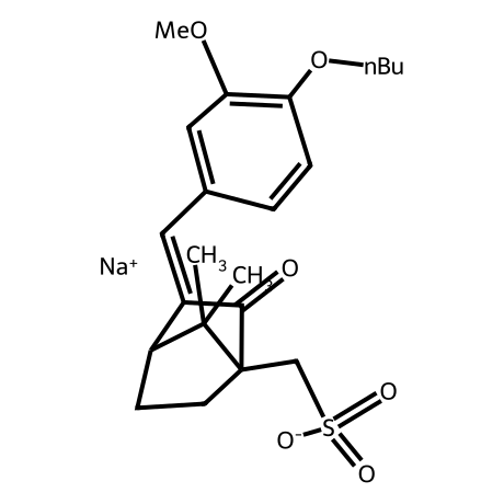 CCCCOc1ccc(C=C2C(=O)C3(CS(=O)(=O)[O-])CCC2C3(C)C)cc1OC.[Na+]